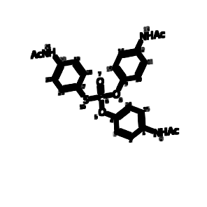 CC(=O)Nc1ccc(OP(=O)(Oc2ccc(NC(C)=O)cc2)Sc2ccc(NC(C)=O)cc2)cc1